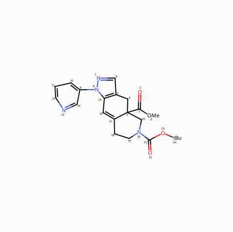 COC(=O)C12Cc3cnn(-c4cccnc4)c3C=C1CCN(C(=O)OC(C)(C)C)C2